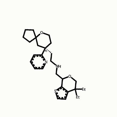 CCC1(CC)COC(CNCC[C@@]2(c3ccccn3)CCOC3(CCCC3)C2)c2sccc21